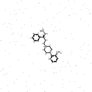 Cc1cccnc1N1CCN(CC/C(=N/O)c2ccccc2)CC1